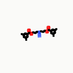 Cc1cc(C)cc(C(=O)OCCCNCCCOC(=O)c2cc(C)cc(C)c2)c1